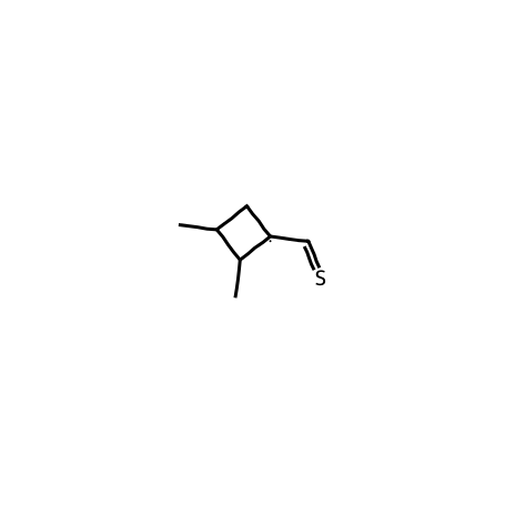 CC1C[C](C=S)C1C